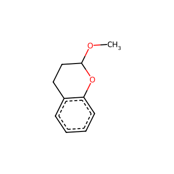 COC1CCc2ccccc2O1